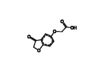 O=C(O)COc1ccc2c(c1)C(=O)CO2